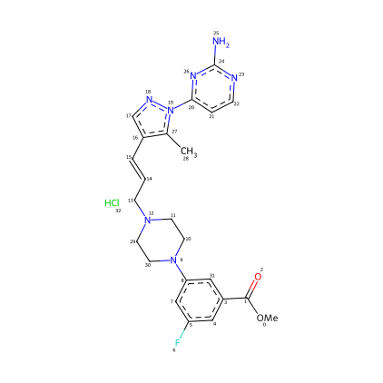 COC(=O)c1cc(F)cc(N2CCN(CC=Cc3cnn(-c4ccnc(N)n4)c3C)CC2)c1.Cl